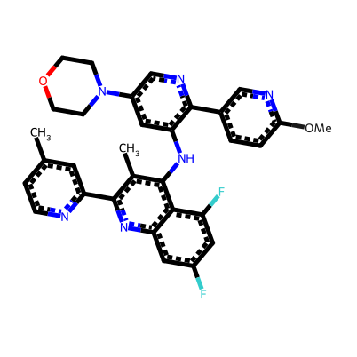 COc1ccc(-c2ncc(N3CCOCC3)cc2Nc2c(C)c(-c3cc(C)ccn3)nc3cc(F)cc(F)c23)cn1